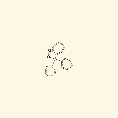 SOC(c1ccccc1)(c1ccccc1)c1ccccc1